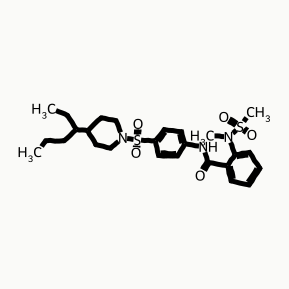 CCCC(CC)C1CCN(S(=O)(=O)c2ccc(NC(=O)c3ccccc3N(C)S(C)(=O)=O)cc2)CC1